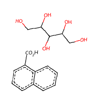 O=C(O)c1cccc2ccccc12.OCC(O)C(O)C(O)CO